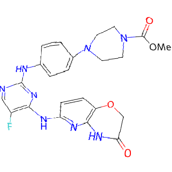 COC(=O)N1CCN(c2ccc(Nc3ncc(F)c(Nc4ccc5c(n4)NC(=O)CO5)n3)cc2)CC1